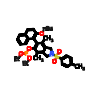 CCCCOc1ccc2ccccc2c1-c1c(C)c2c(c(C)c1OP(OCC)OCC)CN(S(=O)(=O)c1ccc(C)cc1)C2